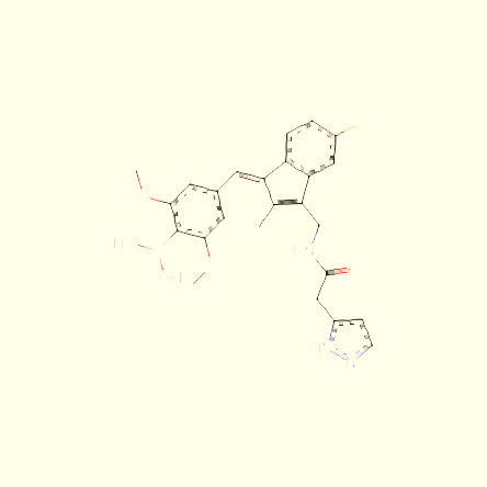 COc1cc(C=C2C(C)=C(CNC(=O)Cc3ccn[nH]3)c3cc(F)ccc32)cc(OC)c1B(O)O